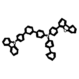 c1ccc(-c2ccc(N(c3ccc(-c4cccc(-c5ccc(-n6c7ccccc7c7ccccc76)cc5)c4)cc3)c3ccc(-c4cccc5c4oc4ccccc45)cc3)cc2)cc1